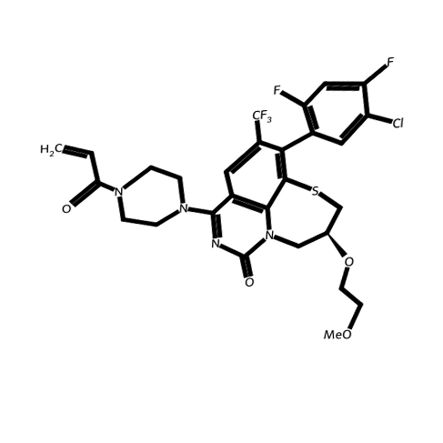 C=CC(=O)N1CCN(c2nc(=O)n3c4c(c(-c5cc(Cl)c(F)cc5F)c(C(F)(F)F)cc24)SC[C@@H](OCCOC)C3)CC1